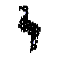 COc1ccc2ncc(F)c(C(O)C(O)([C@H]3CC[C@H](NC/C=C/c4cccc(F)c4)CC3)[C@@](O)([C@H]3CC[C@H](NC/C=C/c4cc(F)ccc4F)CC3)[C@H](O)c3c(F)cnc4ccc(OC)nc34)c2n1